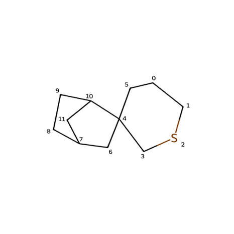 C1CSCC2(C1)CC1CCC2C1